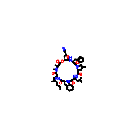 CCCC[C@@H](C)C[C@@H]1NC(=O)[C@H](CC2CCCCC2)N(C)C(=O)[C@H](CC(C)C)NC(=O)[C@H](CC(C)C)N(C)C(=O)[C@H](CC2=CCCC2)NC(=O)[C@@H](CCC#N)OC(=O)[C@H](C)N(C)C1=O